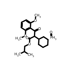 COc1cccc(OC)c1C(=O)C(C(=O)OCC(C)C)C1CCCCC1.O=[PH3]